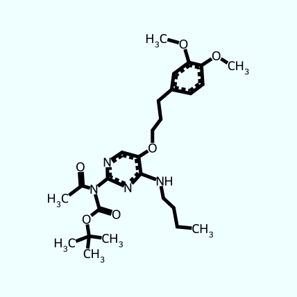 CCCCNc1nc(N(C(C)=O)C(=O)OC(C)(C)C)ncc1OCCCc1ccc(OC)c(OC)c1